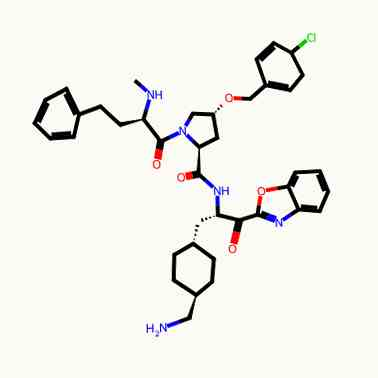 CN[C@H](CCc1ccccc1)C(=O)N1C[C@H](OCC2=CCC(Cl)C=C2)C[C@H]1C(=O)N[C@@H](C[C@H]1CC[C@H](CN)CC1)C(=O)c1nc2ccccc2o1